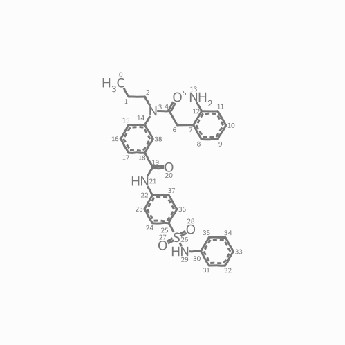 CCCN(C(=O)Cc1ccccc1N)c1cccc(C(=O)Nc2ccc(S(=O)(=O)Nc3ccccc3)cc2)c1